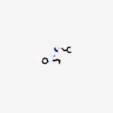 C[C@]1(O)CC[C@H](Nc2nc(Nc3cnn(C(=O)CC4CCNCC4)c3)nc3ccsc23)CC1